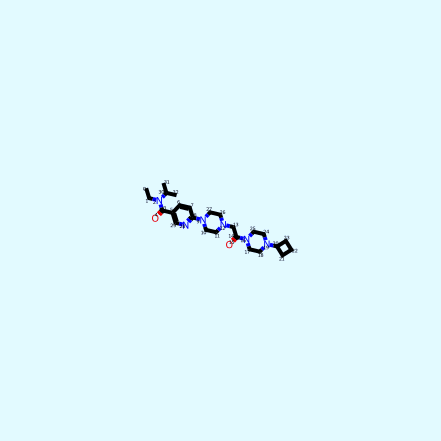 CCN(C(=O)c1ccc(N2CCN(CC(=O)N3CCN(C4CCC4)CC3)CC2)nc1)C(C)C